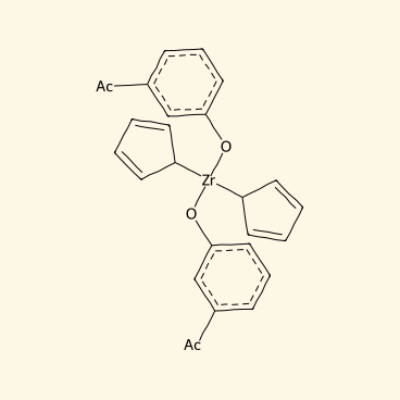 CC(=O)c1cccc([O][Zr]([O]c2cccc(C(C)=O)c2)([CH]2C=CC=C2)[CH]2C=CC=C2)c1